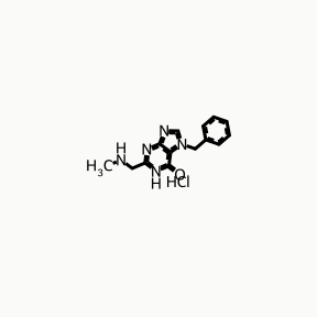 CNCc1nc2ncn(Cc3ccccc3)c2c(=O)[nH]1.Cl